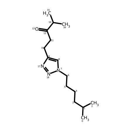 CC(C)CCCCn1cc(CCC(=O)C(C)C)nn1